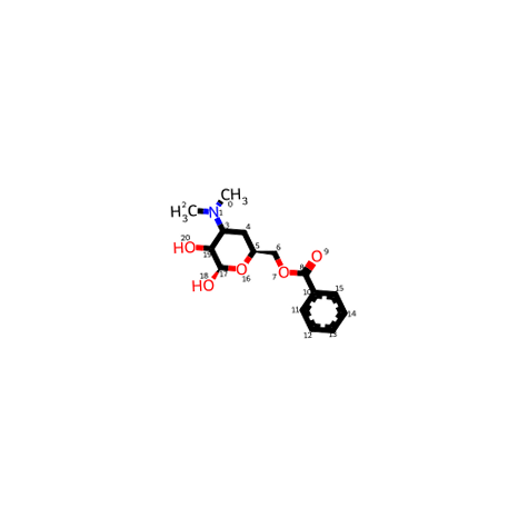 CN(C)C1C[C@@H](COC(=O)c2ccccc2)O[C@@H](O)C1O